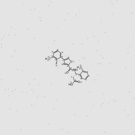 Cc1ccccc1[C@H](CC(=O)O)NC(=O)c1nc(-c2cccc(C)c2F)cs1